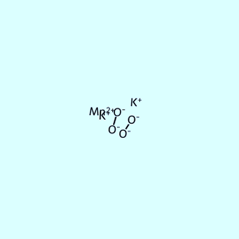 [K+].[K+].[Mn+2].[O-][O-].[O-][O-]